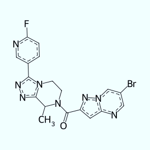 CC1c2nnc(-c3ccc(F)nc3)n2CCN1C(=O)c1cc2ncc(Br)cn2n1